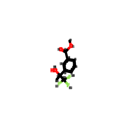 COC(=O)c1cccc(C(C)(O)C(F)(F)F)c1